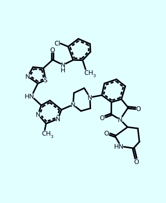 Cc1nc(Nc2ncc(C(=O)Nc3c(C)cccc3Cl)s2)cc(N2CCN(c3cccc4c3C(=O)N(C3CCC(=O)NC3=O)C4=O)CC2)n1